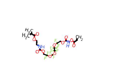 C=CC(=O)ONC(=O)OCC(F)(F)OC(F)(F)C(F)(F)OC(F)(F)OC(F)(F)COC(=O)NCCOC(=O)C(=C)C